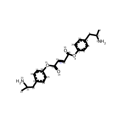 CC(N)Cc1ccc(OC(=O)/C=C/C(=O)Oc2ccc(CC(C)N)cc2)cc1